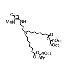 CCCCCCCCC(CCC)OC(=O)CCCCCCCN(CCCCCCCC(=O)OC(CCCCCCCC)CCCCCCCC)CCCNC1=C(NC)C(=O)C1